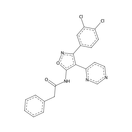 O=C(Cc1ccccc1)Nc1onc(-c2ccc(Cl)c(Cl)c2)c1-c1ccncn1